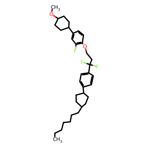 CCCCCCCC1CCC(c2ccc(C(F)(F)CCOc3ccc(C4CCC(OC)CC4)cc3F)cc2)CC1